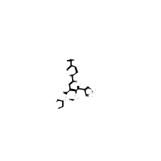 Cn1cc(-c2nc(-c3ccc(C(F)(F)F)cn3)cc3c(=O)n([C@H]4CCOC4)cnc23)cn1